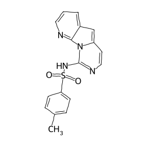 Cc1ccc(S(=O)(=O)Nc2nccc3cc4cccnc4n23)cc1